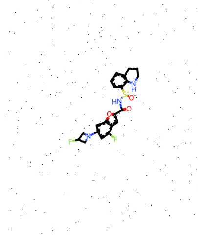 O=C(N[S+]([O-])c1cccc2c1NCCC2)c1cc2c(F)cc(N3CC(F)C3)cc2o1